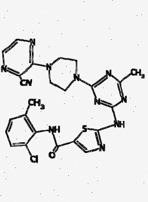 Cc1nc(Nc2ncc(C(=O)Nc3c(C)cccc3Cl)s2)nc(N2CCN(c3nccnc3C#N)CC2)n1